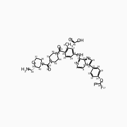 Cc1cc(Nc2nccn3c(-c4ccc(OC(F)F)cc4)cnc23)ccc1C(=O)N1CCN(C(=O)N2CCO[C@@H](CN)C2)CC1.O=CO